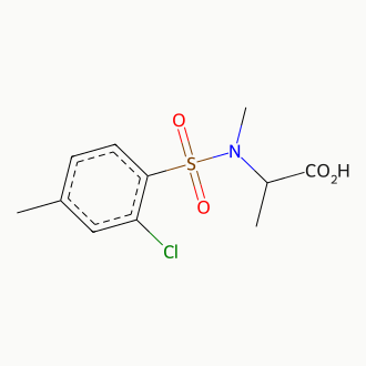 Cc1ccc(S(=O)(=O)N(C)C(C)C(=O)O)c(Cl)c1